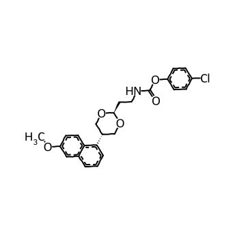 COc1ccc2c(cccc2[C@H]2CO[C@H](CCNC(=O)Oc3ccc(Cl)cc3)OC2)c1